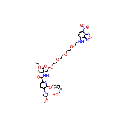 CCOC(=O)C(CC)(CCOCCOCCOCCOCCNc1ccc([N+](=O)[O-])c2nonc12)NC(=O)c1ccc(N2CC(OC)C2)c(OC[C@H]2C[C@@H]2CO)n1